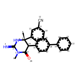 CN1C(=N)N[C@](C)(c2cccc(C#N)c2)C(c2ccc(-c3ccccc3)cc2)C1=O